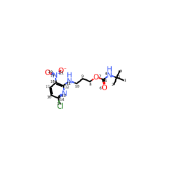 CC(C)(C)NC(=O)OCCCNc1nc(Cl)ccc1[N+](=O)[O-]